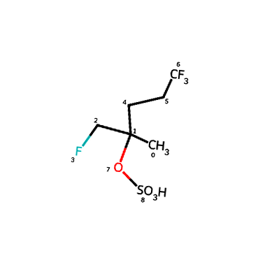 CC(CF)(CCC(F)(F)F)OS(=O)(=O)O